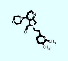 Cc1ccc(CCN2Cc3nccc(N4CCOCC4)c3C2C=O)nc1C